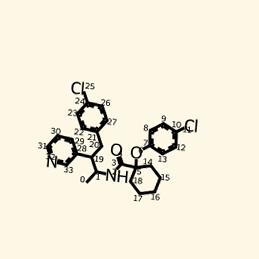 CC(NC(=O)C1(Oc2ccc(Cl)cc2)CCCCC1)C(Cc1ccc(Cl)cc1)c1cccnc1